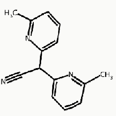 Cc1cccc(C(C#N)c2cccc(C)n2)n1